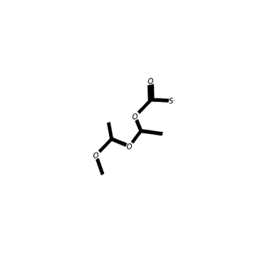 COC(C)OC(C)OC(=O)[S]